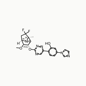 CO[C@@H]1[C@@H](Oc2ncc(-c3ccc(-n4ccnc4)cc3O)nn2)C[C@@]2(C)N[C@@H]1CC2(F)F